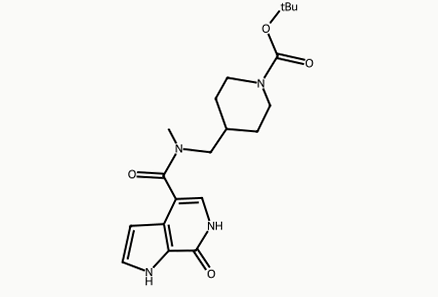 CN(CC1CCN(C(=O)OC(C)(C)C)CC1)C(=O)c1c[nH]c(=O)c2[nH]ccc12